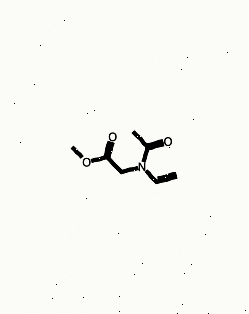 C=CN(CC(=O)OC)C(C)=O